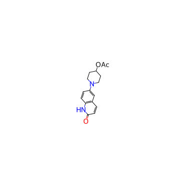 CC(=O)OC1CCN(c2ccc3[nH]c(=O)ccc3c2)CC1